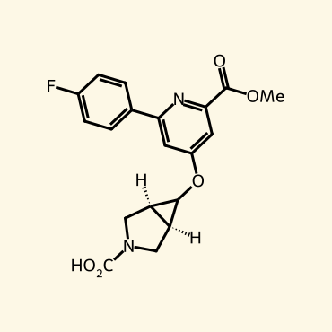 COC(=O)c1cc(OC2[C@H]3CN(C(=O)O)C[C@@H]23)cc(-c2ccc(F)cc2)n1